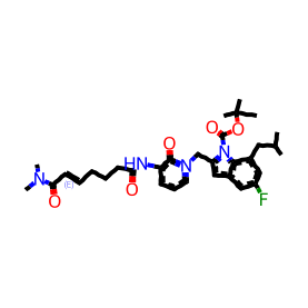 CC(C)Cc1cc(F)cc2cc(Cn3cccc(NC(=O)CCC/C=C/C(=O)N(C)C)c3=O)n(C(=O)OC(C)(C)C)c12